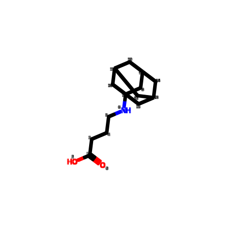 O=C(O)CCCNC12CC3CC(CC(C3)C1)C2